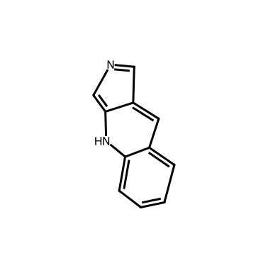 c1ccc2[nH]c3cncc-3cc2c1